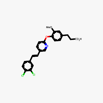 COc1cc(CCC(=O)O)ccc1Oc1ccc(/C=C/c2ccc(Cl)c(Cl)c2)cn1